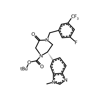 Cn1cnc2ccc([C@H]3CN(Cc4cc(F)cc(C(F)(F)F)c4)C(=O)CN3C(=O)OC(C)(C)C)cc21